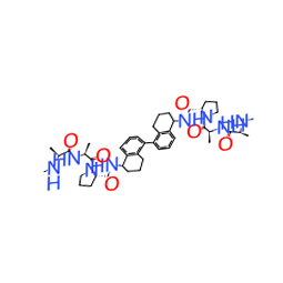 CN[C@@H](C)C(=O)N[C@@H](C)C(=O)N1CCC[C@H]1C(=O)N[C@@H]1CCCc2c(-c3cccc4c3CCC[C@H]4NC(=O)[C@@H]3CCCN3C(=O)[C@H](C)NC(=O)[C@H](C)NC)cccc21